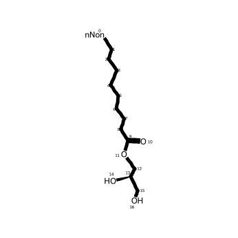 CCCCCCCCCCCCCCCCCC(=O)OC[C@H](O)CO